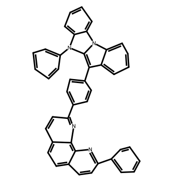 c1ccc(-c2ccc3ccc4ccc(-c5ccc(-c6c7ccccc7n7c8ccccc8n(-c8ccccc8)c67)cc5)nc4c3n2)cc1